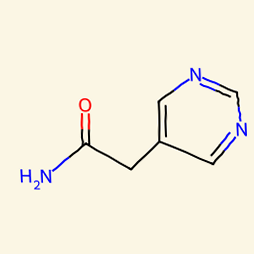 NC(=O)Cc1cncnc1